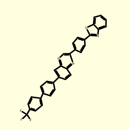 FC(F)(F)c1ccc(-c2ccc(-c3ccc4nc(-c5ccc(-c6nc7ccccc7o6)cc5)cnc4c3)cc2)cc1